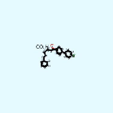 O=C(C[C@@H](CCCc1ccccc1)C(=O)O)c1ccc(-c2ccc(Cl)cc2)cc1